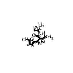 CC(C)CC(C)NC(=O)c1c(-c2ccc(Cl)o2)noc1N